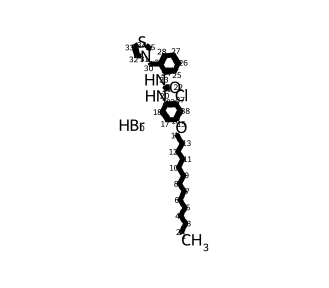 Br.CCCCCCCCCCCCCCOc1ccc(NC(=O)Nc2ccccc2CN2C=CSC2)c(Cl)c1